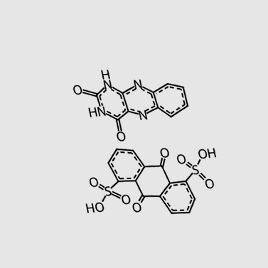 O=C1c2cccc(S(=O)(=O)O)c2C(=O)c2cccc(S(=O)(=O)O)c21.O=c1[nH]c(=O)c2nc3ccccc3nc2[nH]1